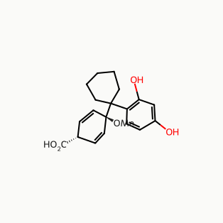 CO[C@]1(C2(c3ccc(O)cc3O)CCCCC2)C=C[C@@H](C(=O)O)C=C1